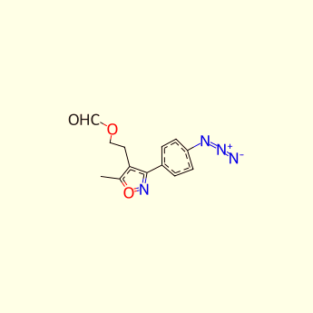 Cc1onc(-c2ccc(N=[N+]=[N-])cc2)c1CCOC=O